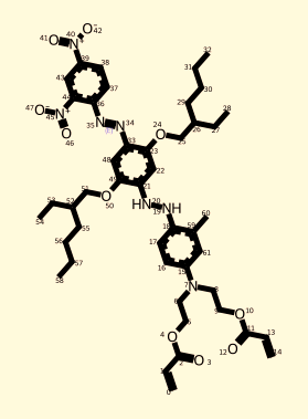 C=CC(=O)OCCN(CCOC(=O)C=C)c1ccc(NNc2cc(OCC(CC)CCCC)c(/N=N/c3ccc([N+](=O)[O-])cc3[N+](=O)[O-])cc2OCC(CC)CCCC)c(C)c1